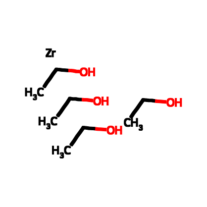 CCO.CCO.CCO.CCO.[Zr]